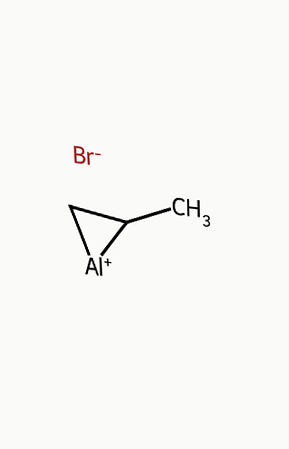 C[CH]1[CH2][Al+]1.[Br-]